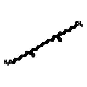 CCCCCCOC(=O)CCCCCCCCCC(=O)OCCCCCC